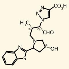 C[C@@H](CN1C[C@H](O)CC1c1nc2ccccc2s1)[C@@H](C=O)n1cc(C(=O)O)nn1